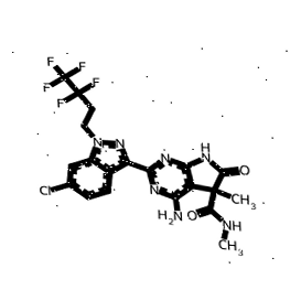 CNC(=O)C1(C)C(=O)Nc2nc(-c3nn(CCC(F)(F)C(F)(F)F)c4cc(Cl)ccc34)nc(N)c21